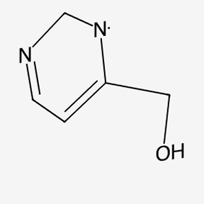 OCC1=CC=NC[N]1